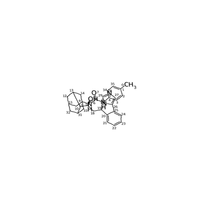 Cc1ccc(NC(=O)NC23CC4CC(C2)C([C@@H](O)CC2c5ccccc5-c5cncn52)C(C4)C3)cc1